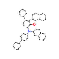 c1ccc(-c2ccc(N(c3ccc4ccccc4c3)c3ccc(-c4ccccc4)c4c3oc3c5ccccc5ccc34)cc2)cc1